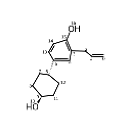 C=CCc1cc([C@H]2CC[C@H](O)CC2)ccc1O